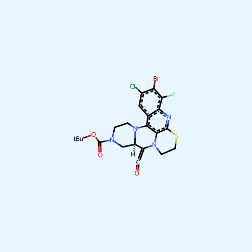 CC(C)(C)OC(=O)N1CCN2c3c4c(nc5c(F)c(Br)c(Cl)cc35)SCCN4C(=C=O)[C@H]2C1